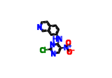 O=[N+]([O-])c1cnc(Cl)nc1Nc1ccc2ccncc2c1